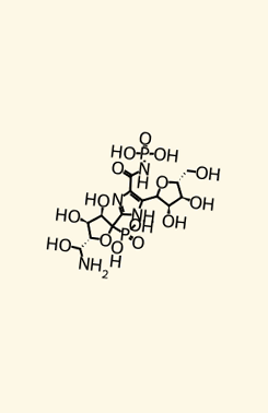 NC(O)[C@H]1OC(c2nc(C(=O)NP(=O)(O)O)c(C3O[C@H](CO)[C@@H](O)[C@H]3O)[nH]2)(P(=O)(O)O)[C@H](O)[C@@H]1O